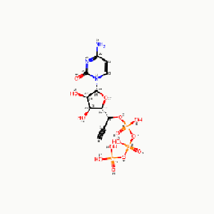 C#CC(OP(=O)(O)OP(=O)(O)OP(=O)(O)O)[C@H]1O[C@@H](n2ccc(N)nc2=O)[C@H](O)[C@@H]1O